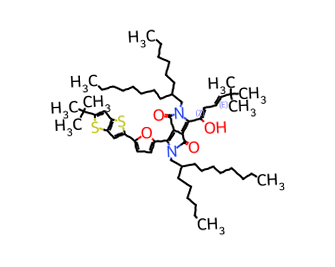 CCCCCCCCC(CCCCCC)CN1C(=O)C2=C(c3ccc(-c4cc5sc(C(C)(C)C)cc5s4)o3)N(CC(CCCCCC)CCCCCCCC)C(=O)C2=C1/C(O)=C/C=C/C(C)(C)C